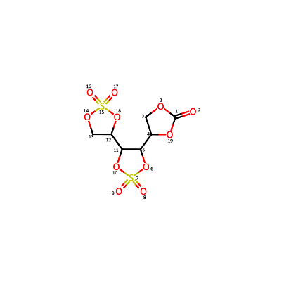 O=C1OCC(C2OS(=O)(=O)OC2C2COS(=O)(=O)O2)O1